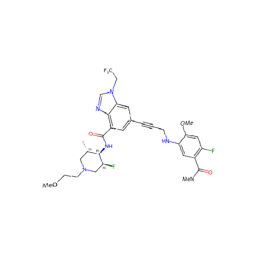 CNC(=O)c1cc(NCC#Cc2cc(C(=O)N[C@@H]3[C@@H](C)CN(CCOC)C[C@@H]3F)c3ncn(CC(F)(F)F)c3c2)c(OC)cc1F